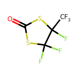 O=C1SC(F)(F)C(F)(C(F)(F)F)S1